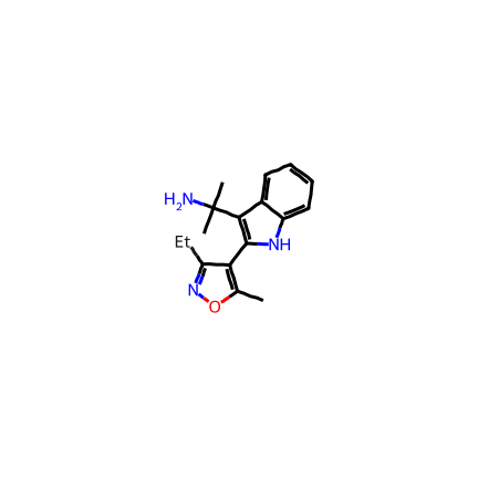 CCc1noc(C)c1-c1[nH]c2ccccc2c1C(C)(C)N